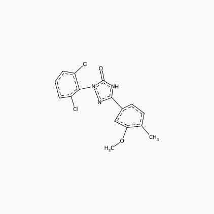 COc1cc(-c2nn(-c3c(Cl)cccc3Cl)c(=O)[nH]2)ccc1C